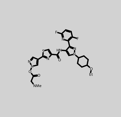 CCOC1CCC(n2cc(NC(=O)c3csc(-c4cnn(OC(=O)CNC)c4)n3)c(-c3nc(F)ccc3F)n2)CC1